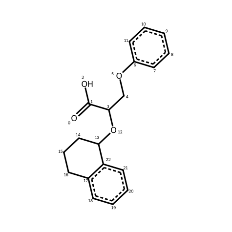 O=C(O)C(COc1ccccc1)OC1CCCc2ccccc21